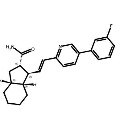 NC(=O)[C@H]1C[C@H]2CCCC[C@H]2[C@@H]1C=Cc1ccc(-c2cccc(F)c2)cn1